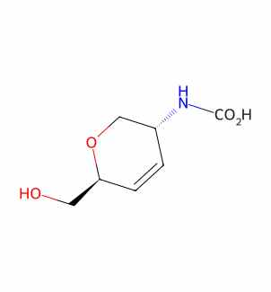 O=C(O)N[C@@H]1C=C[C@@H](CO)OC1